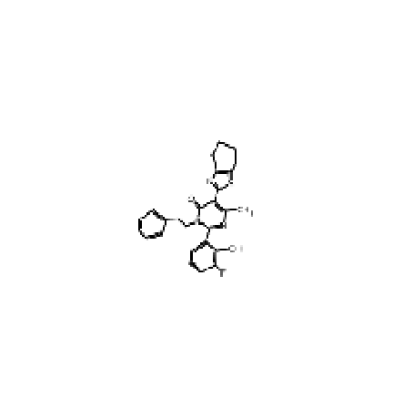 Cc1nc(-c2cccc(F)c2O)n(CCc2ccccc2)c(=O)c1-c1nc2c(s1)CCCC2